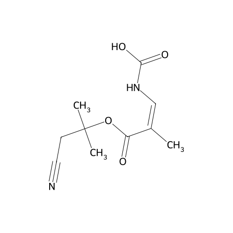 CC(=CNC(=O)O)C(=O)OC(C)(C)CC#N